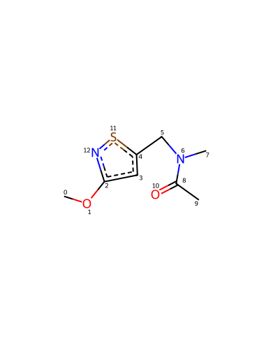 COc1cc(CN(C)C(C)=O)sn1